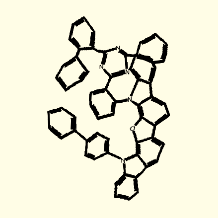 c1ccc(-c2ccc(-n3c4ccccc4c4ccc5c6ccc7c8ccccc8n(-c8ccccc8-c8nc(-c9ccccc9)nc(-c9ccccc9-c9ccccc9)n8)c7c6oc5c43)cc2)cc1